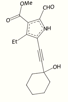 CCc1c(C#CC2(O)CCCCC2)[nH]c(C=O)c1C(=O)OC